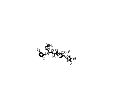 Cn1nc(O)c(=O)nc1SCC1=C(C(=O)O)N2C(=O)[C@@H](NC(=O)C(=NOCc3cc(Cl)ccc3Cl)c3csc(N)n3)[C@@H]2SC1